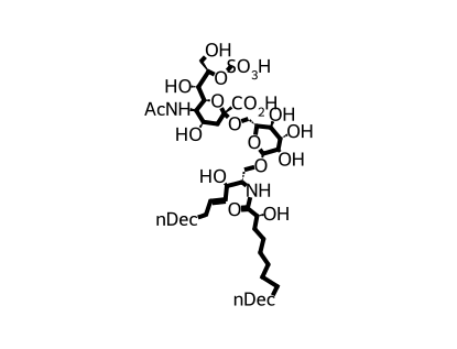 CCCCCCCCCCC/C=C/[C@@H](O)[C@H](CO[C@@H]1O[C@H](CO[C@]2(C(=O)O)C[C@H](O)[C@@H](NC(C)=O)[C@H]([C@H](O)[C@@H](CO)OS(=O)(=O)O)O2)[C@@H](O)[C@H](O)[C@H]1O)NC(=O)[C@H](O)CCCCCCCCCCCCCCCC